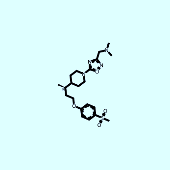 C[C@H](CCOc1ccc(S(C)(=O)=O)cc1)C1CCN(c2nc(CN(C)C)no2)CC1